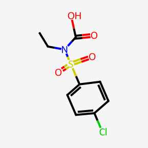 CCN(C(=O)O)S(=O)(=O)c1ccc(Cl)cc1